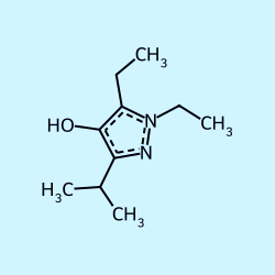 CCc1c(O)c(C(C)C)nn1CC